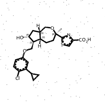 C[C@]1(c2nc(C(=O)O)cs2)CC[C@H]2[C@@H](CO1)C[C@@H](O)[C@@H]2COc1ccc(Cl)c(C2CC2)c1